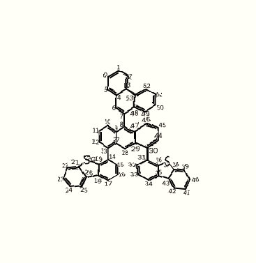 c1ccc2c(c1)cc(-c1c3cccc(-c4cccc5c4sc4ccccc45)c3cc3c(-c4cccc5c4sc4ccccc45)cccc13)c1ccccc12